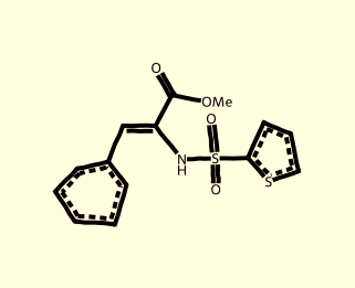 COC(=O)C(=Cc1ccccc1)NS(=O)(=O)c1cccs1